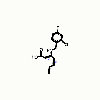 C=C/C=C\C(=C\C(=O)O)NCc1ccc(F)cc1Cl